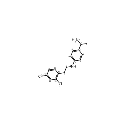 CC(N)c1ccc(NCCc2ccc(Cl)cc2Cl)cc1